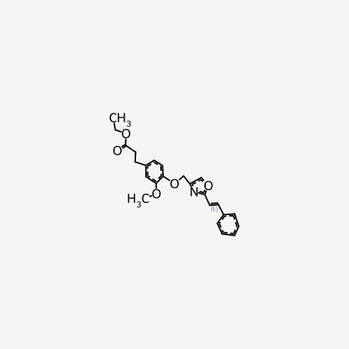 CCOC(=O)CCc1ccc(OCc2coc(/C=C/c3ccccc3)n2)c(OC)c1